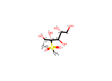 CS(=O)(=O)[C@](O)([C@H](O)[C@H](O)CO)[C@@H](O)C=O